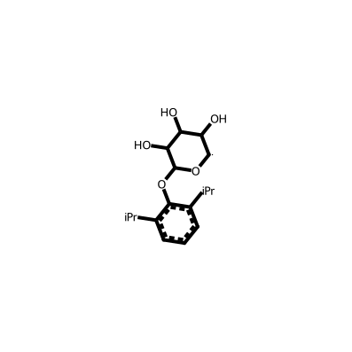 CC(C)c1cccc(C(C)C)c1OC1O[CH]C(O)C(O)C1O